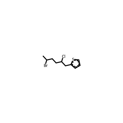 CC(Br)CCC(Cl)Cc1cccs1